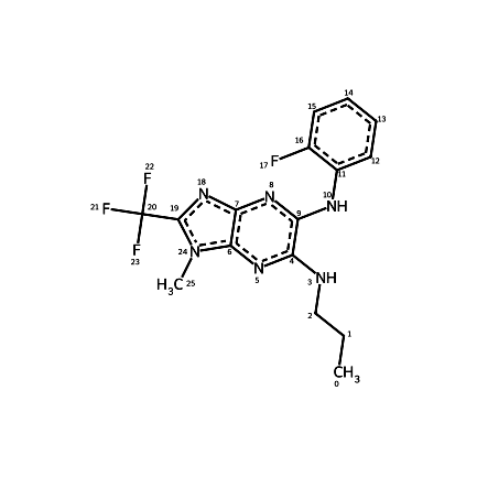 CCCNc1nc2c(nc1Nc1ccccc1F)nc(C(F)(F)F)n2C